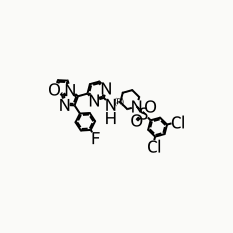 O=S(=O)(c1cc(Cl)cc(Cl)c1)N1CCC[C@@H](Nc2nccc(-c3c(-c4ccc(F)cc4)nc4occn34)n2)C1